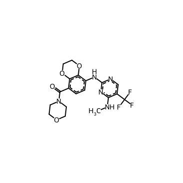 CNc1nc(Nc2ccc(C(=O)N3CCOCC3)c3c2OCCO3)ncc1C(F)(F)F